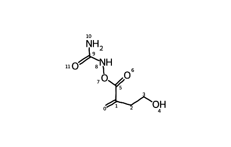 C=C(CCO)C(=O)ONC(N)=O